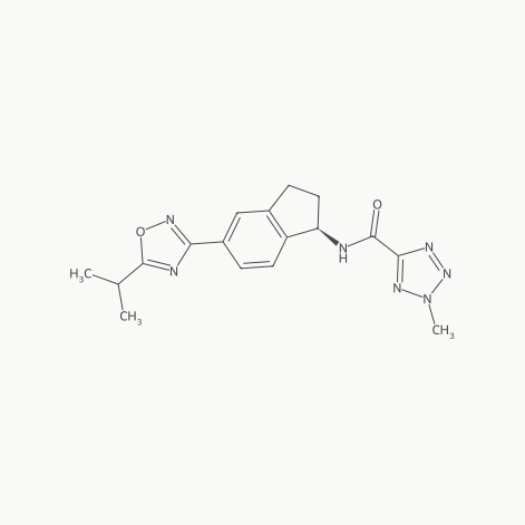 CC(C)c1nc(-c2ccc3c(c2)CC[C@H]3NC(=O)c2nnn(C)n2)no1